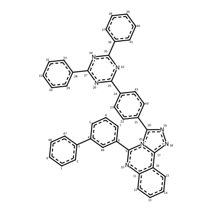 c1ccc(-c2cccc(-c3nc4ccccc4c4nnc(-c5ccc(-c6nc(-c7ccccc7)nc(-c7ccccc7)n6)cc5)n34)c2)cc1